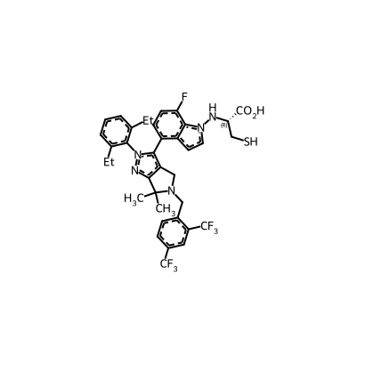 CCc1cccc(CC)c1-n1nc2c(c1-c1ccc(F)c3c1ccn3N[C@@H](CS)C(=O)O)CN(Cc1ccc(C(F)(F)F)cc1C(F)(F)F)C2(C)C